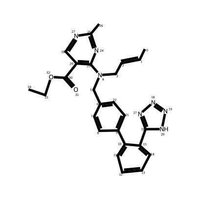 CC=CCN(Cc1ccc(-c2ccccc2-c2nnn[nH]2)cc1)c1nc(C)ncc1C(=O)OCC